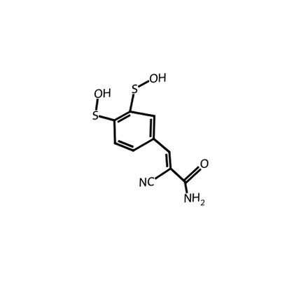 N#C/C(=C\c1ccc(SO)c(SO)c1)C(N)=O